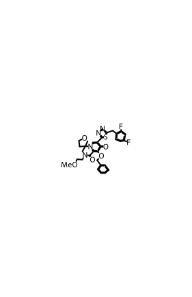 COCCN1CC2(CCOC2)n2cc(-c3nnc(Cc4ccc(F)cc4F)s3)c(=O)c(OCc3ccccc3)c2C1=O